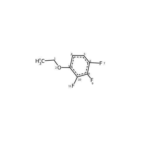 CCOc1[c]cc(F)c(F)c1F